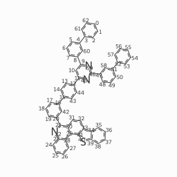 c1ccc(-c2cccc(-c3cc(-c4ccc(-c5cccc(-c6nc7ccccc7c7c6ccc6c8ccccc8sc67)c5)cc4)nc(-c4cccc(-c5ccccc5)c4)n3)c2)cc1